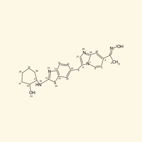 CC(=NO)c1ccn2c(Cc3ccc4nc(NC5CCCCC5O)sc4c3)cnc2c1